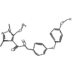 CCOc1ccc(Oc2ccc(CNC(=O)c3c(C)nn(C)c3OC(C)C)cc2)cc1